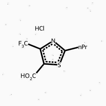 CCCc1nc(C(F)(F)F)c(C(=O)O)s1.Cl